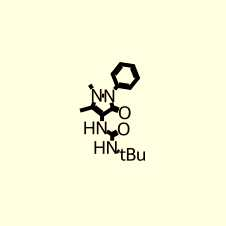 Cc1c(NC(=O)NC(C)(C)C)c(=O)n(-c2ccccc2)n1C